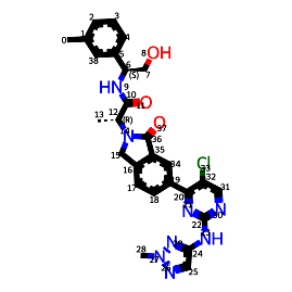 Cc1cccc([C@@H](CO)NC(=O)[C@@H](C)N2Cc3ccc(-c4nc(Nc5cnn(C)n5)ncc4Cl)cc3C2=O)c1